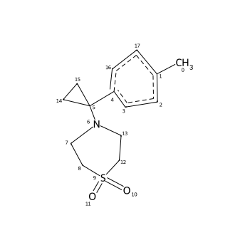 Cc1ccc(C2(N3CCS(=O)(=O)CC3)CC2)cc1